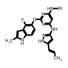 C/C=C/c1cc(Nc2cc(NC(C)C)nc(Oc3ccc4[nH]c(C)cc4c3F)n2)n[nH]1